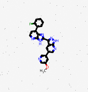 COc1cncc(-c2cnc3[nH]nc(-c4nc5c(-c6ccccc6F)ccnc5[nH]4)c3c2)c1